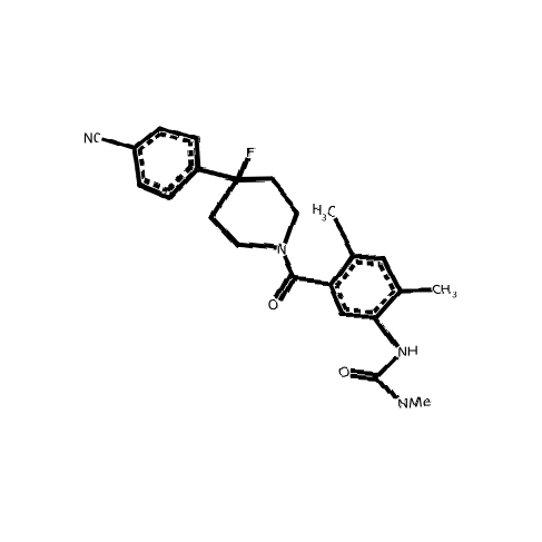 CNC(=O)Nc1cc(C(=O)N2CCC(F)(c3ccc(C#N)cc3)CC2)c(C)cc1C